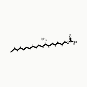 CCCCCCCCCCCCCCCCCCOC(=O)O.N